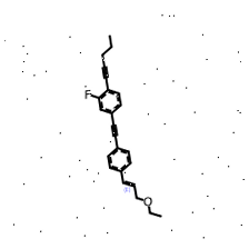 CCCC#Cc1ccc(C#Cc2ccc(/C=C/COCC)cc2)cc1F